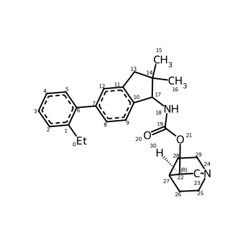 CCc1ccccc1-c1ccc2c(c1)CC(C)(C)C2NC(=O)O[C@H]1CN2CCC1CC2